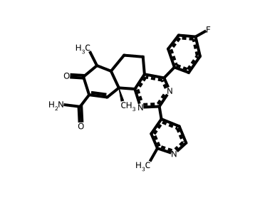 Cc1cc(-c2nc(-c3ccc(F)cc3)c3c(n2)[C@]2(C)C=C(C(N)=O)C(=O)C(C)C2CC3)ccn1